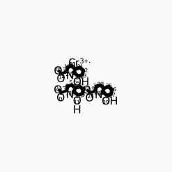 O=C([O-])c1ccc2cccc(O)c2n1.O=C([O-])c1ccc2cccc(O)c2n1.O=C([O-])c1ccc2cccc(O)c2n1.[Cr+3]